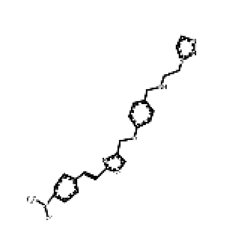 [O-][S+](c1ccc(C=Cc2nc(COc3ccc(CNCCn4ccnn4)cc3)co2)cc1)C(F)(F)F